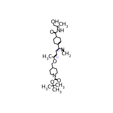 C=N/C(=C\C=C(/C)OCC1CCN(C(=O)OC(C)(C)C)CC1)C1=CCC(C(=O)N[C@@H](C)CO)CC1